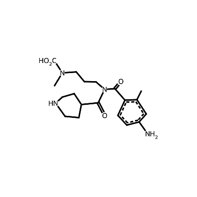 Cc1cc(N)ccc1C(=O)N(CCCN(C)C(=O)O)C(=O)C1CCNCC1